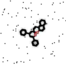 C1=CC2(C=C(c3ccccc3)C=C(c3ccccc3)O2)Oc2ccc3ccccc3c21